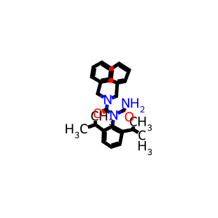 CC(C)c1cccc(C(C)C)c1N(C(N)=O)C(=O)N(Cc1ccccc1)Cc1ccccc1